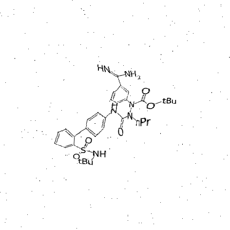 CCCN(C(=O)Nc1ccc(-c2ccccc2S(=O)(=O)NC(C)(C)C)cc1)N(C(=O)OC(C)(C)C)c1cccc(C(=N)N)c1